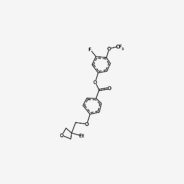 CCC1(COc2ccc(C(=O)Oc3ccc(OC(F)(F)F)c(F)c3)cc2)COC1